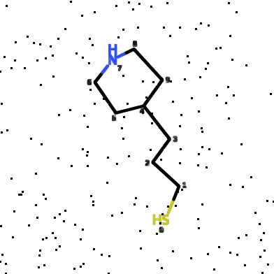 SCCCC1CCNCC1